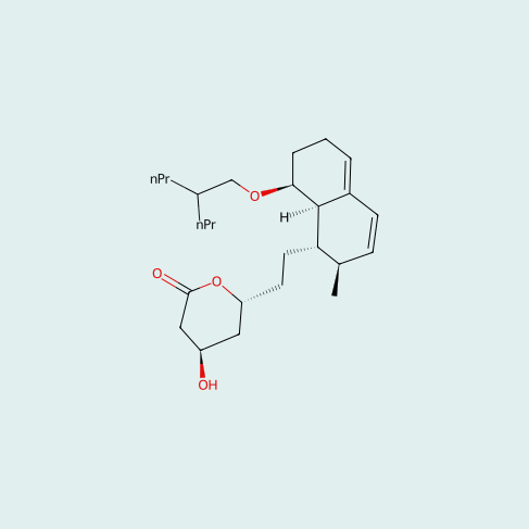 CCCC(CCC)CO[C@H]1CCC=C2C=C[C@@H](C)[C@H](CC[C@@H]3C[C@@H](O)CC(=O)O3)[C@H]21